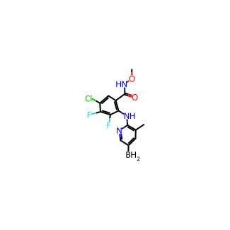 Bc1cnc(Nc2c(C(=O)NOC)cc(Cl)c(F)c2F)c(C)c1